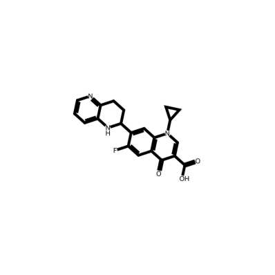 O=C(O)c1cn(C2CC2)c2cc(C3CCc4ncccc4N3)c(F)cc2c1=O